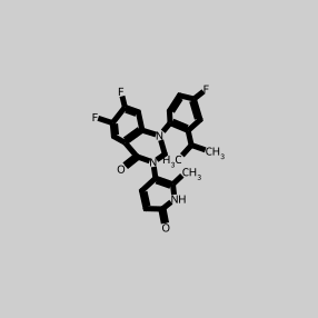 Cc1[nH]c(=O)ccc1N1CN(c2ccc(F)cc2C(C)C)c2cc(F)c(F)cc2C1=O